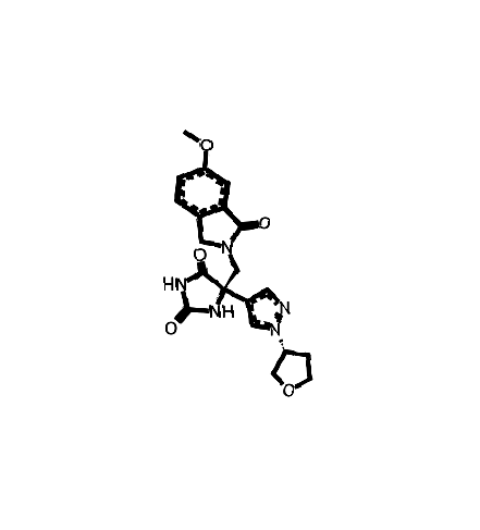 COc1ccc2c(c1)C(=O)N(C[C@@]1(c3cnn([C@@H]4CCOC4)c3)NC(=O)NC1=O)C2